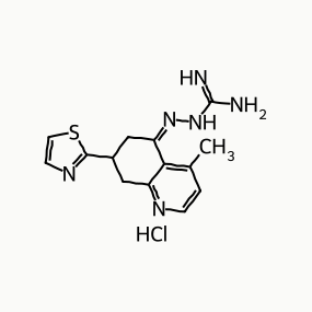 Cc1ccnc2c1/C(=N\NC(=N)N)CC(c1nccs1)C2.Cl